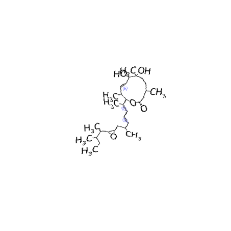 CCC(C)C(C)C1OC1CC(C)/C=C/C=C(\C)C1OC(=O)CC(C)CCC(C)(O)C(O)/C=C/C1C